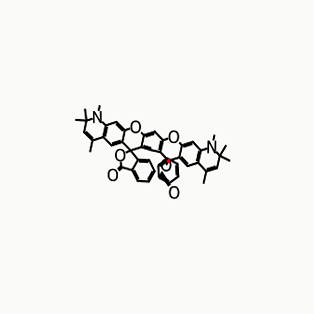 CC1=CC(C)(C)N(C)c2cc3c(cc21)C1(OC(=O)c2ccccc21)c1cc2c(cc1O3)Oc1cc3c(cc1C21OC(=O)c2ccccc21)C(C)=CC(C)(C)N3C